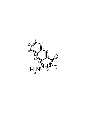 CN(C)C(=O)c1cc2ccccc2cc1NN